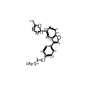 CSCOc1ccc(-c2coc3ccc(-c4nnc(C)o4)cc23)cc1